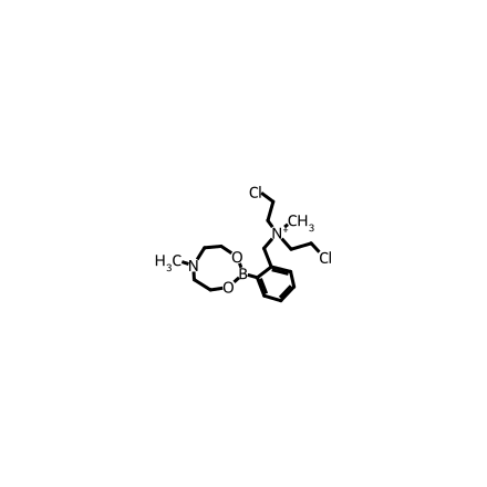 CN1CCOB(c2ccccc2C[N+](C)(CCCl)CCCl)OCC1